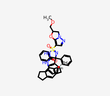 COCC1Cn2ncc(S(=O)(=NC(c3ccccc3)(c3ccccc3)c3ccccc3)NC(=O)Nc3c4c(cc5c3[C@H](C)C5)CCC4)c2O1